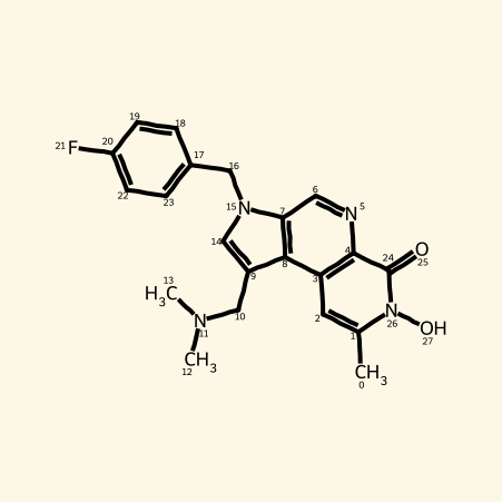 Cc1cc2c(ncc3c2c(CN(C)C)cn3Cc2ccc(F)cc2)c(=O)n1O